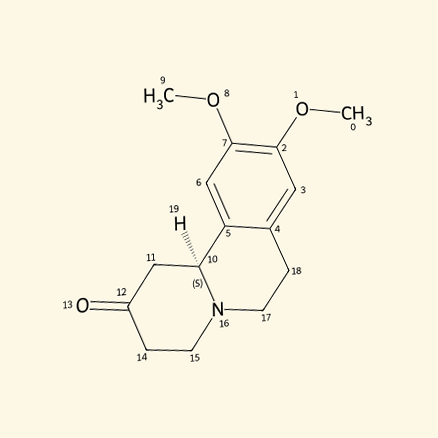 COc1cc2c(cc1OC)[C@@H]1CC(=O)CCN1CC2